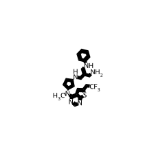 CN(c1ncnc2sc(CC(F)(F)F)cc12)[C@@H]1CC[C@H](NC/C(=C/Nc2ccccc2)CN)C1